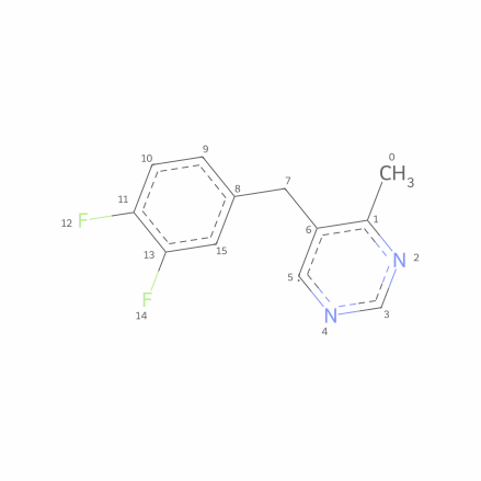 Cc1ncn[c]c1Cc1ccc(F)c(F)c1